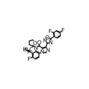 CC1(n2c(=O)c3c(-c4noc(-c5ccc(F)cc5F)n4)ncn3c3ccc(F)c(C#N)c32)CCCO1